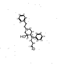 CC1(O)CN(CCc2ccccc2)CCC1N(CCC=O)c1ccccc1